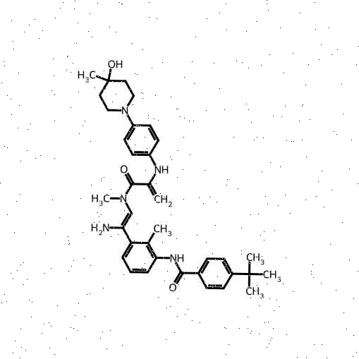 C=C(Nc1ccc(N2CCC(C)(O)CC2)cc1)C(=O)N(C)/C=C(\N)c1cccc(NC(=O)c2ccc(C(C)(C)C)cc2)c1C